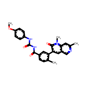 COc1ccc(NC(=O)NC(=O)c2ccc(C)c(-c3cc4cnc(C)cc4n(C)c3=O)c2)cc1